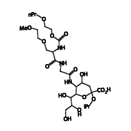 CCCOCCOC(=O)NC(COCCOC)C(=O)NCC(=O)NC1C(O)CC(OC(C)C)(C(=O)O)OC1C(O)C(O)CO